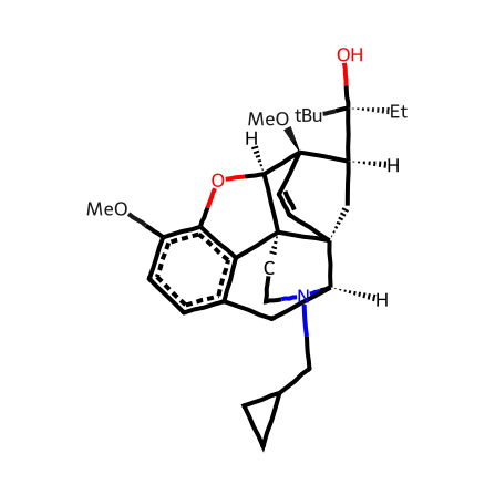 CC[C@](O)([C@H]1C[C@@]23C=C[C@]1(OC)[C@@H]1Oc4c(OC)ccc5c4[C@@]12CCN(CC1CC1)[C@@H]3C5)C(C)(C)C